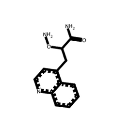 NOC(Cc1ccnc2ccccc12)C(N)=O